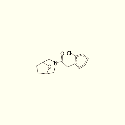 O=C(Cc1ccccc1Cl)N1CC2CCC(C1)O2